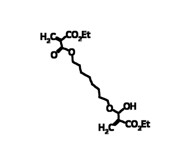 C=C(C(=O)OCC)C(=O)OCCCCCCCCOC(O)C(=C)C(=O)OCC